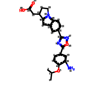 CC(C)Oc1ccc(-c2nc(-c3ccc4c(c3)cc3n4CCC3CC(=O)O)no2)cc1N